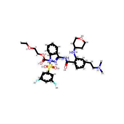 CCOCCOC(=O)[N+]1(S(=O)(=O)c2cc(F)cc(F)c2)N=C(NC(=O)c2ccc(CCN(C)C)cc2NC2CCOCC2)c2ccccc21